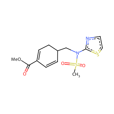 COC(=O)C1=CCC(CN(c2nccs2)S(C)(=O)=O)C=C1